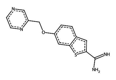 N=C(N)c1cc2ccc(OCc3cnccn3)cc2s1